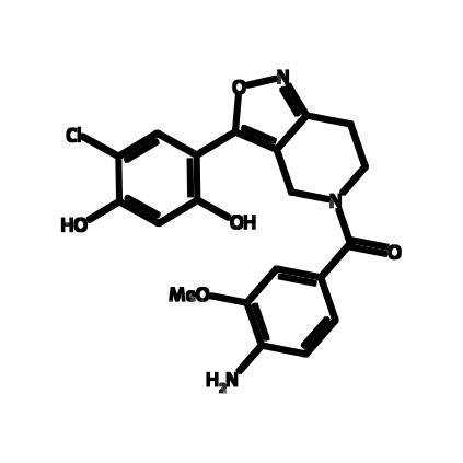 COc1cc(C(=O)N2CCc3noc(-c4cc(Cl)c(O)cc4O)c3C2)ccc1N